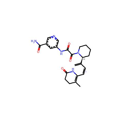 C=C(/C=C\C1=C(C)CCC(=O)N1)[C@@H]1CCCCN1C(=O)C(=O)Nc1cncc(C(N)=O)c1